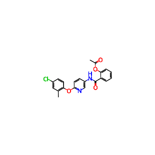 CC(=O)Oc1ccccc1C(=O)Nc1ccc(Oc2ccc(Cl)cc2C)nc1